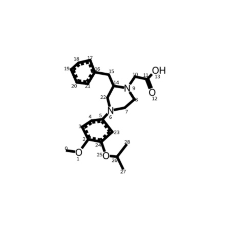 COc1ccc(N2CCN(CC(=O)O)C(Cc3ccccc3)C2)cc1OC(C)C